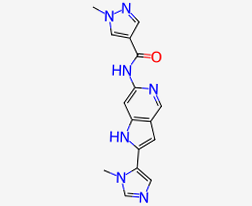 Cn1cc(C(=O)Nc2cc3[nH]c(-c4cncn4C)cc3cn2)cn1